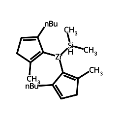 CCCCC1=CCC(C)=[C]1[Zr]([C]1=C(C)CC=C1CCCC)[SiH](C)C